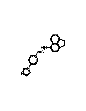 C(=N\Nc1ccc2c3c(cccc13)CC2)/c1ccc(-n2ccnc2)cc1